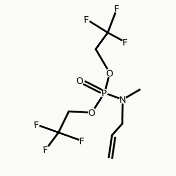 C=CCN(C)P(=O)(OCC(F)(F)F)OCC(F)(F)F